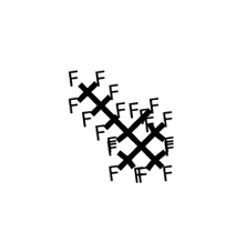 FC(F)(F)C(F)(F)C(F)(F)C(F)(C(F)(F)F)C(C(F)(F)F)(C(F)(F)F)C(F)(F)F